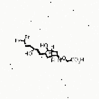 CCC(CC)CCC(O)C=CC1C[C@@H]2C(=NOCC(=O)O)C[C@H]2C1O